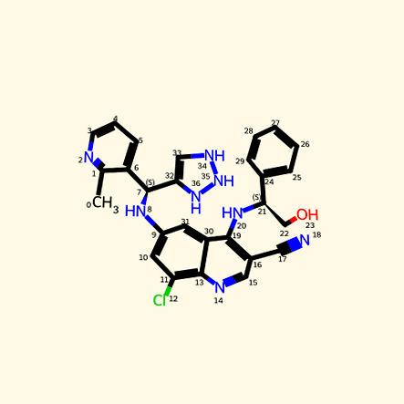 Cc1ncccc1[C@H](Nc1cc(Cl)c2ncc(C#N)c(N[C@H](CO)c3ccccc3)c2c1)C1=CNNN1